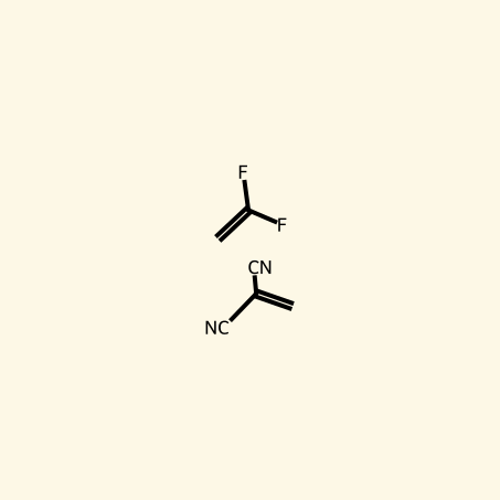 C=C(C#N)C#N.C=C(F)F